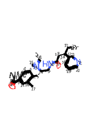 CNC(=O)c1ccc(C[C@@H](CNC(=O)C[C@@H](CC(C)C)c2cccnc2)N(C)C)c(C)c1